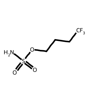 NS(=O)(=O)OCCCC(F)(F)F